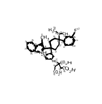 Cc1c(C2(c3cccs3)CCC(c3cccc(F)c3)(N(C)C)CC2)[nH]c2ccccc12.O=C(O)CC(O)(CC(=O)O)C(=O)O